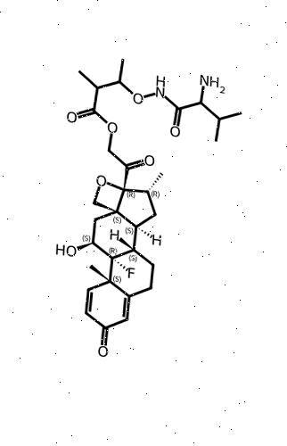 CC(C)C(N)C(=O)NOC(C)C(C)C(=O)OCC(=O)[C@]12OC[C@@]13C[C@H](O)[C@@]1(F)[C@@H](CCC4=CC(=O)C=C[C@@]41C)[C@@H]3C[C@H]2C